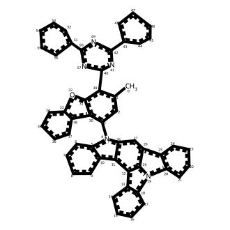 Cc1cc(-n2c3ccccc3c3c4c5ccccc5n5c6ccccc6c(cc32)c45)c2c(oc3ccccc32)c1-c1nc(-c2ccccc2)nc(-c2ccccc2)n1